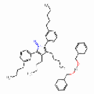 CCCCCc1cccc(C2=C(CCCC)C(CCCC)=C(c3cccc(CCCC)c3)[N+]2=[N-])c1.c1ccc(C[O][Ni][O]Cc2ccccc2)cc1